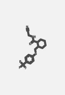 N#CCNC(=O)C1CCCCC1CSc1ccc(C(F)(F)F)cc1